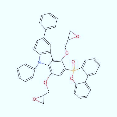 O=P1(c2cc(OCC3CO3)c3c(c2OCC2CO2)c2cc(-c4ccccc4)ccc2n3-c2ccccc2)Oc2ccccc2-c2ccccc21